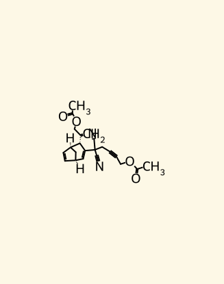 C=C(COC(C)=O)[C@@H]1C(C(C#N)(C#N)CC#CCOC(C)=O)=C[C@H]2C=C[C@@H]1C2